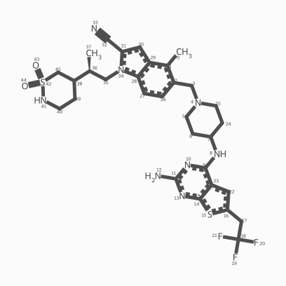 Cc1c(CN2CCC(Nc3nc(N)nc4sc(CC(F)(F)F)cc34)CC2)ccc2c1cc(C#N)n2C[C@H](C)C1CCNS(=O)(=O)C1